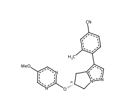 COc1cnc(O[C@@H]2Cc3c(-c4ccc(C#N)cc4C)cnn3C2)nc1